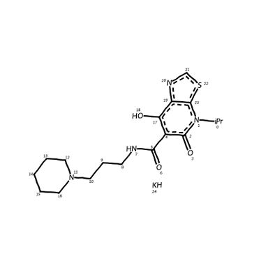 CC(C)n1c(=O)c(C(=O)NCCCN2CCCCC2)c(O)c2ncsc21.[KH]